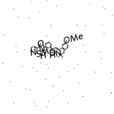 COc1ccc2c(c1)/C(=C/C(=O)c1cccc(NC(=O)c3cccnc3SC)c1)NC(C)(C)C2